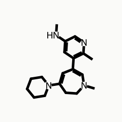 CNc1cnc(C)c(C2=CN(C)CCC(N3CCCCC3)=C2)c1